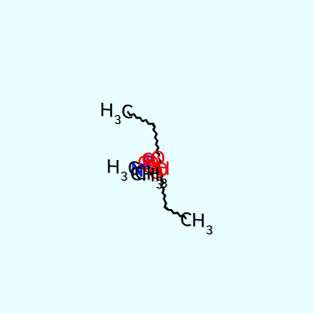 CCCCCC/C=C\CCCCCCCCCC(=O)O[C@H](COCCCCCCCC/C=C\CCCCCCCC)COP(=O)(O)OCC[N+](C)(C)C